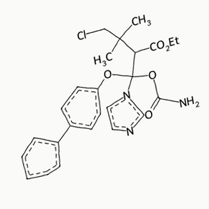 CCOC(=O)C(C(C)(C)CCl)C(OC(N)=O)(Oc1ccc(-c2ccccc2)cc1)n1ccnc1